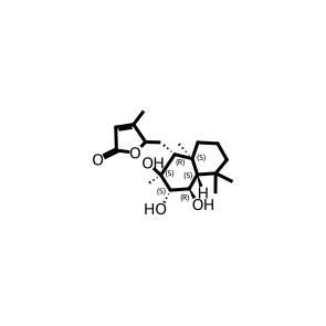 CC1=CC(=O)OC1C[C@H]1[C@](C)(O)[C@@H](O)[C@H](O)[C@H]2C(C)(C)CCC[C@@]21C